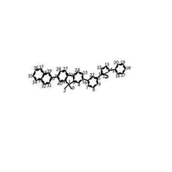 CC1(C)c2cc(-c3cccc(-c4ccc(-c5ccccc5)s4)c3)ccc2-c2ccc(-c3ccc4ccccc4c3)cc21